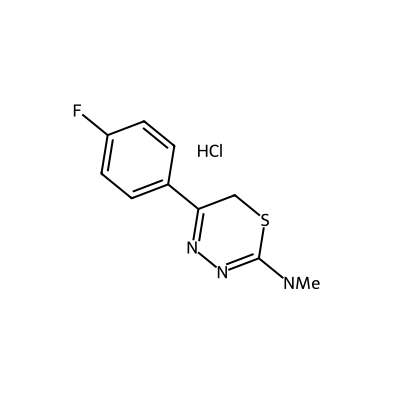 CNC1=NN=C(c2ccc(F)cc2)CS1.Cl